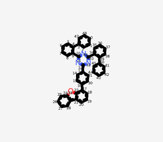 c1ccc(-c2ccccc2-c2nc(-c3ccc(-c4cccc5c4oc4ccccc45)cc3)nc(-c3ccccc3-c3ccccc3)n2)cc1